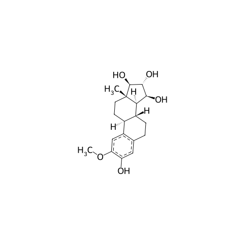 COc1cc2c(cc1O)CC[C@H]1[C@@H]3[C@H](O)[C@@H](O)[C@H](O)[C@@]3(C)CC[C@H]21